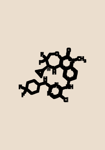 Cn1c(=O)c2c(c3cc(Nc4nc(NC5CCC(F)(F)CC5)ncc4Cl)ccc31)N[C@@H](C1CC1)C(F)(F)CO2